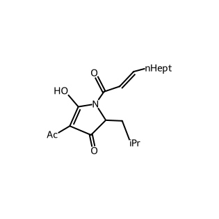 CCCCCCC/C=C/C(=O)N1C(O)=C(C(C)=O)C(=O)C1CC(C)C